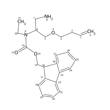 C=CCCOCC(CN)N(CC)C(=O)OCC1c2ccccc2-c2ccccc21